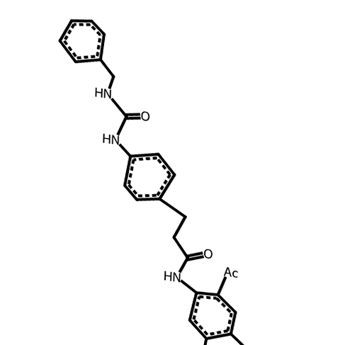 COc1cc(NC(=O)CCc2ccc(NC(=O)NCc3ccccc3)cc2)c(C(C)=O)cc1OC